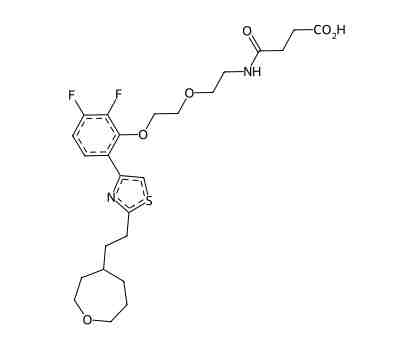 O=C(O)CCC(=O)NCCOCCOc1c(-c2csc(CCC3CCCOCC3)n2)ccc(F)c1F